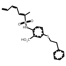 C=C/C=C\C=C(/C)S(=O)(=O)Nc1ccc(SCCc2ccccc2)cc1C(=O)O